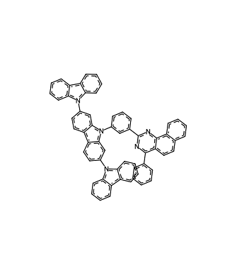 c1ccc(-c2nc(-c3cccc(-n4c5cc(-n6c7ccccc7c7ccccc76)ccc5c5ccc(-n6c7ccccc7c7ccccc76)cc54)c3)nc3c2ccc2ccccc23)cc1